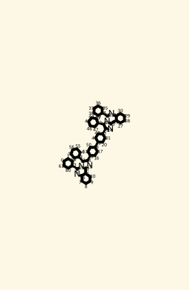 c1ccc(-c2nc3ccccc3c3nc(-c4ccc(-c5ccc(-c6nc7c8ccccc8nc(-c8ccccc8)n7c6-c6ccccc6)cc5)cc4)c(-c4ccccc4)n23)cc1